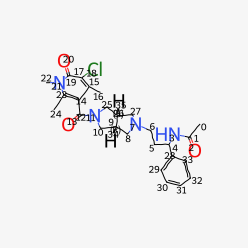 CC(=O)NC(CCN1C[C@@H]2CN(C(=O)c3c(C)c(Cl)c(=O)n(C)c3C)C[C@@H]2C1)c1ccccc1